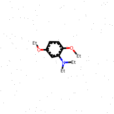 CCOc1[c]cc(OCC)c(N(CC)CC)c1